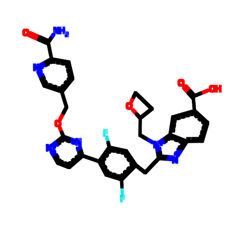 NC(=O)c1ccc(COc2nccc(-c3cc(F)c(Cc4nc5ccc(C(=O)O)cc5n4CC4CCO4)cc3F)n2)cn1